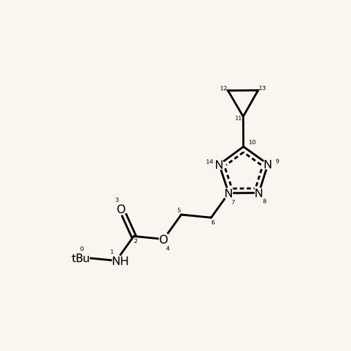 CC(C)(C)NC(=O)OCCn1nnc(C2CC2)n1